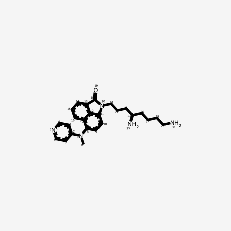 CN(c1ccncc1)c1ccc2c3c(cccc13)C(=O)N2CCCC(N)CCCCN